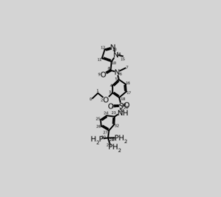 CCOc1cc(N(C)C(=O)c2ccnn2C)ccc1S(=O)(=O)Nc1cccc(C(P)(P)P)c1